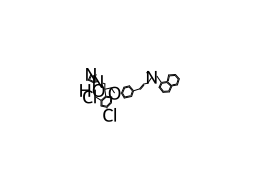 CN(CC=Cc1ccc(OCC(O)(Cn2ccnc2)c2ccc(Cl)cc2Cl)cc1)Cc1cccc2ccccc12